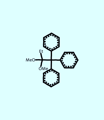 CCC(OC)(OC)C(c1ccccc1)(c1ccccc1)c1ccccc1